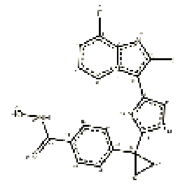 Cc1nc2c(F)cccn2c1-c1csc(C2(c3ccc(C(=O)NO)cc3)CC2)n1